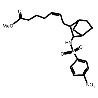 COC(=O)CCC/C=C\CC1C2CCC(C2)C1NS(=O)(=O)c1ccc([N+](=O)[O-])cc1